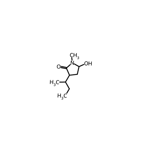 CCC(C)C1CC(O)N(C)C1=O